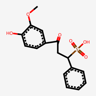 COc1cc(C(=O)CC(c2ccccc2)S(=O)(=O)O)ccc1O